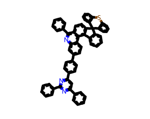 c1ccc(-c2cc(-c3ccc(-c4ccc5c(c4)nc(-c4ccccc4)c4ccc6c(c45)-c4ccccc4C64c5ccccc5Sc5ccccc54)cc3)nc(-c3ccccc3)n2)cc1